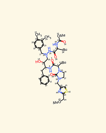 CCC(C)C(C(=O)NC(Cc1ccccc1)C(O)CN(Cc1ccc(C)c(C)c1)NC(=O)C(NC(=O)OC)C(C)(C)C)N1CCN(Cc2csc(COC)n2)C1=O